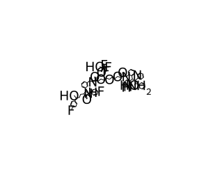 Nc1ncccc1C(c1ccccc1NC(=O)COCCOCCOCC(=O)NCc1cccc(C2C(CCC(O)c3ccc(F)cc3)C(=O)N2c2ccc(F)cc2)c1)C(c1ccccn1)C(O)c1ccccc1.O=C(O)C(F)(F)F